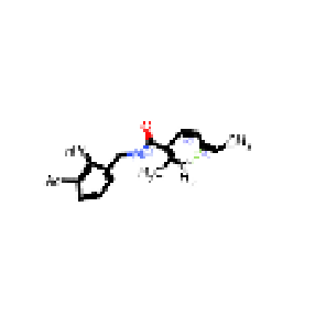 C/C=C(F)\C=C/C(C(=O)NCc1cccc(C(C)=O)c1CCC)=C(C)C